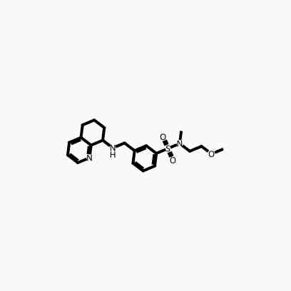 COCCN(C)S(=O)(=O)c1cccc(CNC2CCCc3cccnc32)c1